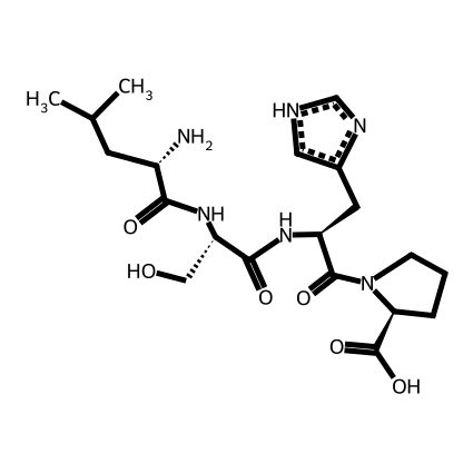 CC(C)C[C@H](N)C(=O)N[C@@H](CO)C(=O)N[C@@H](Cc1c[nH]cn1)C(=O)N1CCC[C@H]1C(=O)O